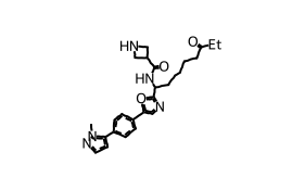 CCC(=O)CCCCCC(NC(=O)C1CNC1)c1ncc(-c2ccc(-c3ccnn3C)cc2)o1